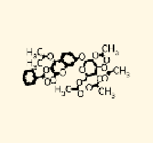 CC(=O)OC[C@H]1O[C@H](Oc2ccc3c(OC(C)C)c(OC(=O)c4ccccc4)c(=O)oc3c2)[C@@H](OC(C)=O)[C@@H](OC(C)=O)[C@@H]1OC(C)=O